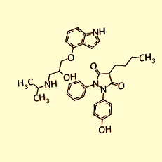 CC(C)NCC(O)COc1cccc2[nH]ccc12.CCCCC1C(=O)N(c2ccccc2)N(c2ccc(O)cc2)C1=O